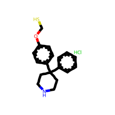 Cl.SCOc1ccc(C2(c3ccccc3)CCNCC2)cc1